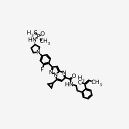 C/C=C(/C)c1ccccc1CCNC(=O)c1cc(C2CC2)n2nc(-c3ccc(N4CC[C@H](NP(C)(C)=O)C4)cc3F)cc2n1